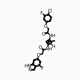 C[C@H]1C2(NC(=O)COc3ccc(Cl)c(F)c3)CC1(NC(=O)COc1cc(F)c3cn[nH]c3c1)C2